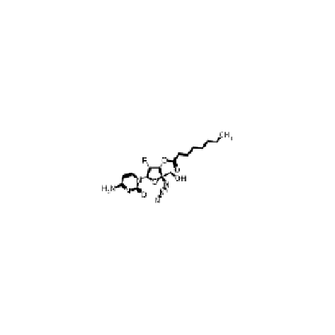 CCCCCCCC(=O)O[C@H]1[C@@H](F)[C@H](n2ccc(N)nc2=O)O[C@@]1(CO)N=[N+]=[N-]